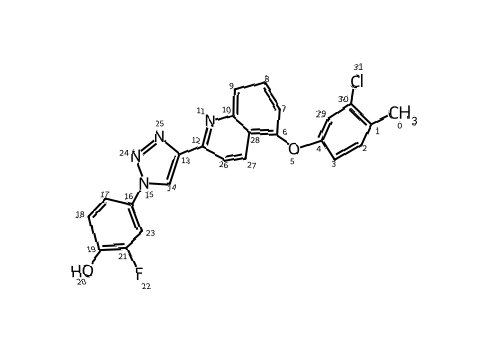 Cc1ccc(Oc2cccc3nc(-c4cn(-c5ccc(O)c(F)c5)nn4)ccc23)cc1Cl